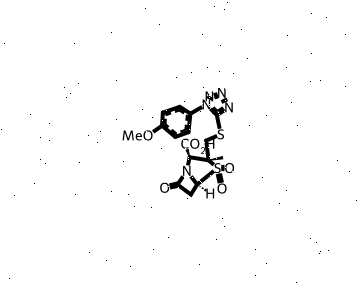 COc1ccc(-n2nnnc2SC[C@@]2(C)[C@H](C(=O)O)N3C(=O)C[C@@H]3S2(=O)=O)cc1